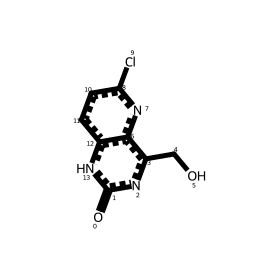 O=c1nc(CO)c2nc(Cl)ccc2[nH]1